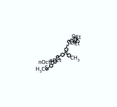 CCCCCCCCC1(CCCCCCCC)c2cc(-c3ccc(C)s3)ccc2-c2ccc(-c3ccc(-c4ccc(N(c5ccc(C)cc5)c5ccc(/C=C/c6ccc(C=C7C(=O)N(CC)C(=S)N(CC)C7=O)s6)cc5)cc4)s3)cc21